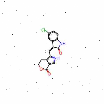 O=C1Nc2ccc(Cl)cc2C1=Cc1[nH]cc2c1CCOC2=O